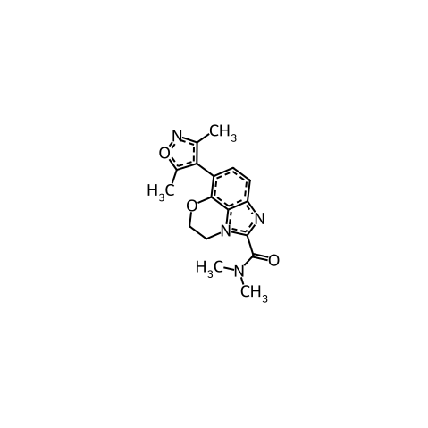 Cc1noc(C)c1-c1ccc2nc(C(=O)N(C)C)n3c2c1OCC3